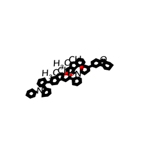 CC1(C)c2ccc(-c3ccccc3N(c3ccc(-c4ccc5oc6ccccc6c5c4)cc3)c3cccc4c3-c3ccccc3C4(C)C)cc2-c2ccc(-c3cccc4c3c3ccccc3n4-c3ccccc3)cc21